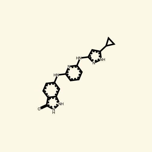 O=c1[nH][nH]c2cc(Nc3cccc(Nc4cc(C5CC5)[nH]n4)n3)ccc12